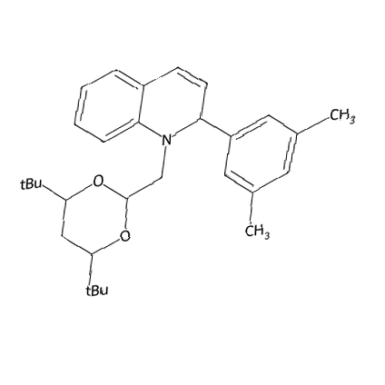 Cc1cc(C)cc(C2C=Cc3ccccc3N2CC2OC(C(C)(C)C)CC(C(C)(C)C)O2)c1